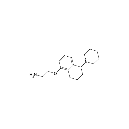 NCCOc1cccc2c1CCCC2N1CCCCC1